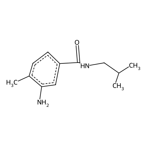 Cc1ccc(C(=O)NCC(C)C)cc1N